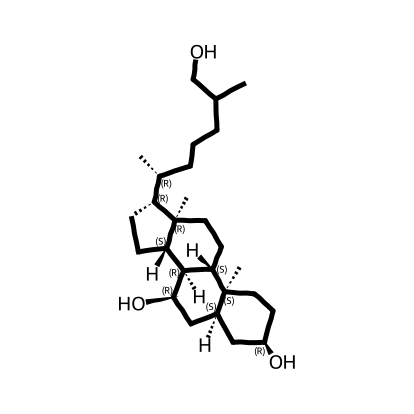 CC(CO)CCC[C@@H](C)[C@H]1CC[C@H]2[C@@H]3[C@H](O)C[C@@H]4C[C@H](O)CC[C@]4(C)[C@H]3CC[C@]12C